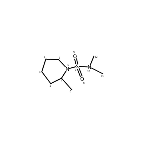 CC1CCCCN1S(=O)(=O)N(C)C